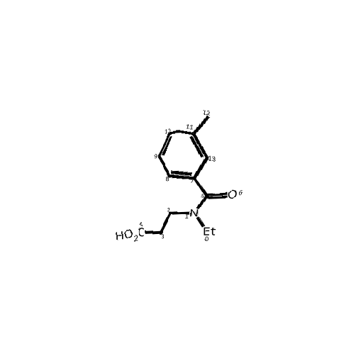 CCN(CCC(=O)O)C(=O)c1cccc(C)c1